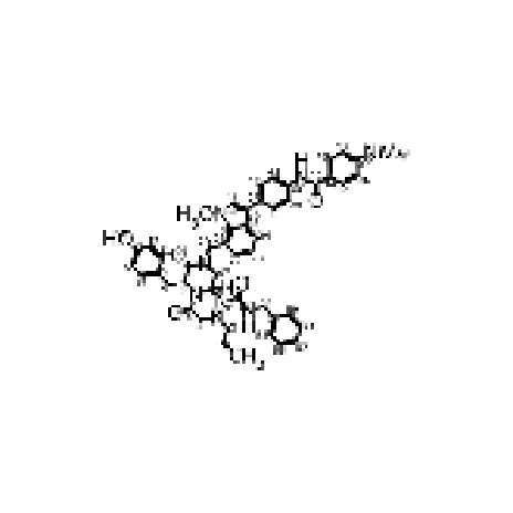 C=CCN1CC(=O)N2[C@@H](Cc3ccc(O)cc3)C(=O)N(Cc3cccc4c(-c5ccc(NC(=O)c6ccc(NC)cc6)cc5)cn(C)c34)C[C@@H]2N1C(=O)NCc1ccccc1